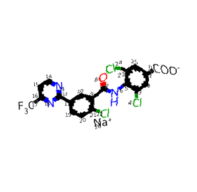 O=C([O-])c1cc(Cl)c(NC(=O)c2cc(-c3nccc(C(F)(F)F)n3)ccc2Cl)c(Cl)c1.[Na+]